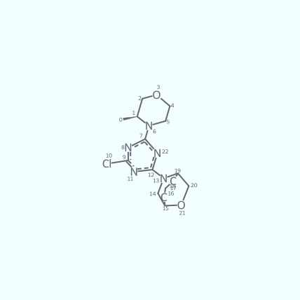 C[C@H]1COCCN1c1nc(Cl)nc(N2CC3CCCC2CO3)n1